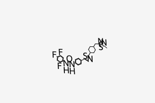 Cc1nnc(CC2CCC(c3ncc(-c4ccc(NC(=O)Nc5cc(F)c(F)cc5F)cc4)s3)CC2)s1